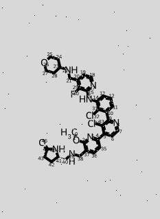 COc1nc(-c2ccnc(-c3cccc(Nc4nccc(CNC5CCOCC5)c4F)c3Cl)c2Cl)ccc1CNC[C@@H]1CCC(=O)N1